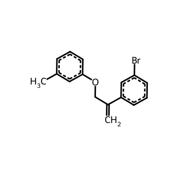 C=C(COc1cccc(C)c1)c1cccc(Br)c1